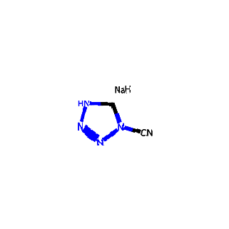 N#CN1CNN=N1.[NaH]